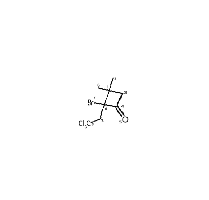 CC1(C)CC(=O)C1(Br)CC(Cl)(Cl)Cl